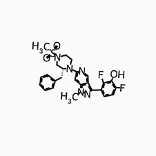 Cn1nc(-c2ccc(F)c(O)c2F)c2cnc(N3CCN(S(C)(=O)=O)C[C@H]3Cc3ccccc3)cc21